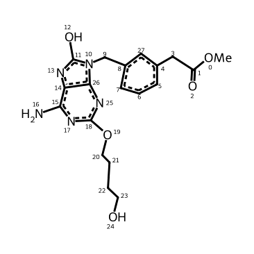 COC(=O)Cc1cccc(Cn2c(O)nc3c(N)nc(OCCCCO)nc32)c1